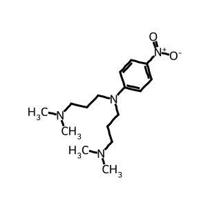 CN(C)CCCN(CCCN(C)C)c1ccc([N+](=O)[O-])cc1